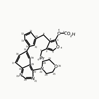 CC(C)Cc1coc(OC(=O)O)c1Cc1cccc(-c2ccc3ncnc(N4CCOCC4)c3c2)c1